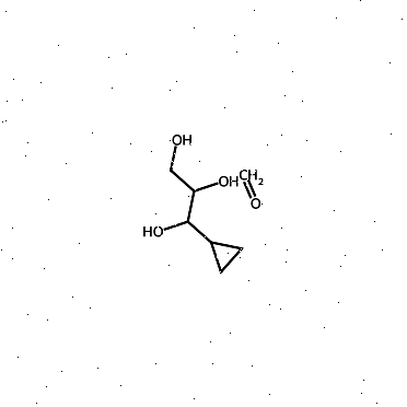 C=O.OCC(O)C(O)C1CC1